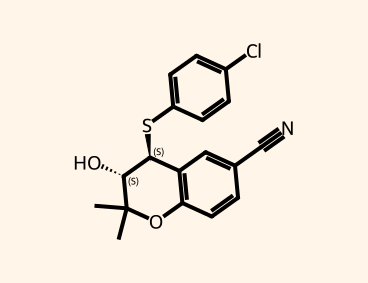 CC1(C)Oc2ccc(C#N)cc2[C@H](Sc2ccc(Cl)cc2)[C@H]1O